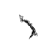 O=C(NC[C@H]1CN(c2ccc(N3CCON(C(=O)CNCCCF)CC3)c(F)c2)C(=O)O1)C(F)F